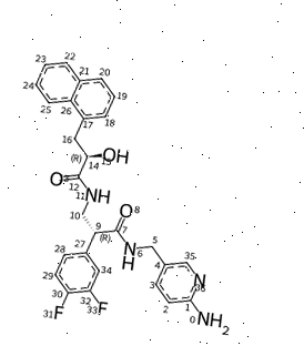 Nc1ccc(CNC(=O)[C@@H](CNC(=O)[C@H](O)Cc2cccc3ccccc23)c2ccc(F)c(F)c2)cn1